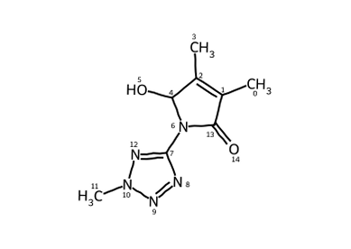 CC1=C(C)C(O)N(c2nnn(C)n2)C1=O